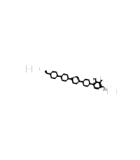 C/C=C/C1CCC(C2CCC(C3CCC(C4CCC(c5ccc(OCCC)c(F)c5F)CC4)CO3)CC2)CC1